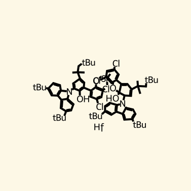 CC(C)(C)CC(C)(C)C1=CC(n2c3ccc(C(C)(C)C)cc3c3cc(C(C)(C)C)ccc32)C(O)(OC[Si](C)(C)COc2c(Cl)cc(Cl)cc2-c2cc(C(C)(C)CC(C)(C)C)cc(-n3c4ccc(C(C)(C)C)cc4c4cc(C(C)(C)C)ccc43)c2O)C(c2cc(Cl)cc(Cl)c2)=C1.[Hf]